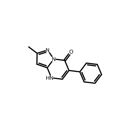 Cc1cc2[nH]cc(-c3ccccc3)c(=O)n2n1